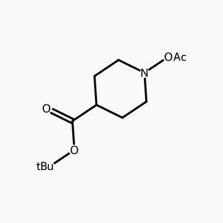 CC(=O)ON1CCC(C(=O)OC(C)(C)C)CC1